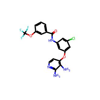 Nc1nccc(Oc2cc(Cl)cc(NC(=O)c3cccc(OC(F)(F)F)c3)c2)c1N